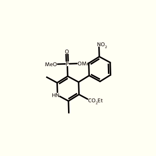 CCOC(=O)C1=C(C)NC(C)=C(P(=O)(OC)OC)C1c1cccc([N+](=O)[O-])c1